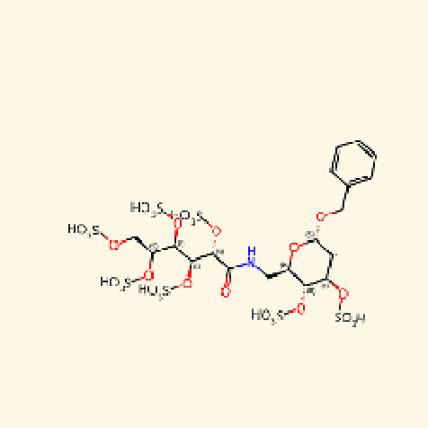 O=C(NC[C@H]1O[C@H](OCc2ccccc2)[CH][C@@H](OS(=O)(=O)O)[C@@H]1OS(=O)(=O)O)[C@@H](OS(=O)(=O)O)[C@@H](OS(=O)(=O)O)[C@H](OS(=O)(=O)O)[C@H](COS(=O)(=O)O)OS(=O)(=O)O